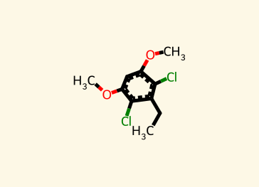 CCc1c(Cl)c(OC)cc(OC)c1Cl